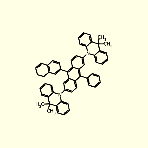 CC1(C)c2ccccc2N(c2ccc3c(-c4ccc5c(c4)CCC=C5)c4cc(N5c6ccccc6C(C)(C)c6ccccc65)ccc4c(-c4ccccc4)c3c2)c2ccccc21